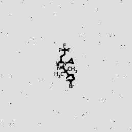 CC(C)(c1ccc(Br)s1)c1nnc(CCC(F)(F)F)n1C1CC1